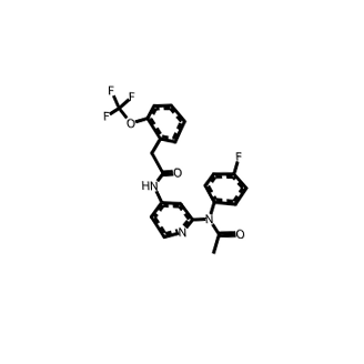 CC(=O)N(c1ccc(F)cc1)c1cc(NC(=O)Cc2ccccc2OC(F)(F)F)ccn1